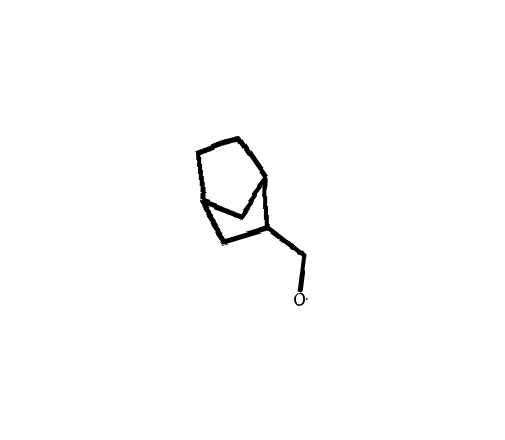 [O]CC1CC2CCC1C2